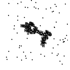 CCN(c1cc(-c2ccc(OCCCCCCOc3cc(C(C(=O)N4C[C@H](O)C[C@H]4C(=O)N[C@@H](C)c4ccc(-c5scnc5C)cc4)C(C)C)on3)cc2)cc(C(=O)NCC2=C(C)C=C(C)NC2C)c1C)C1CCOCC1